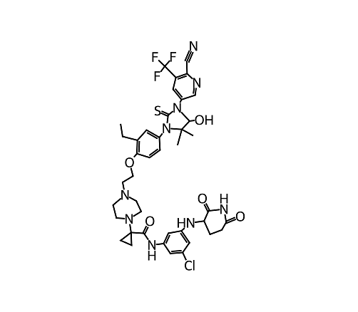 CCc1cc(N2C(=S)N(c3cnc(C#N)c(C(F)(F)F)c3)C(O)C2(C)C)ccc1OCCN1CCN(C2(C(=O)Nc3cc(Cl)cc(NC4CCC(=O)NC4=O)c3)CC2)CC1